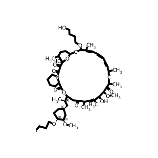 COC1C(=O)C(C)CC(C)C=CC=CC=C(C)C(OCCCCO)CC2CCC(C)C(O)(O2)C(=O)C(=O)N2CCCCC2C(=O)OC([C@H](C)C[C@@H]2CC[C@@H](OCCCI)[C@H](OC)C2)CC(=O)C(C)C=C(C)C1O